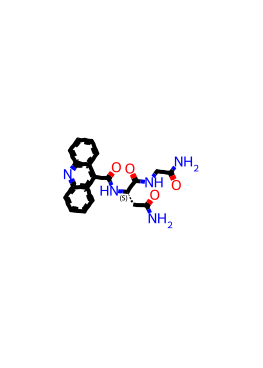 NC(=O)CNC(=O)[C@H](CC(N)=O)NC(=O)c1c2ccccc2nc2ccccc12